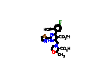 C#Cc1cc(F)ccc1C1N=C(c2nccs2)NC(CN2CCO[C@H](C)[C@H]2C(=O)O)=C1C(=O)OCC